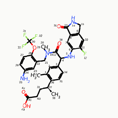 Cc1cc(C(Nc2cc3c(cc2F)CNC3=O)C(=O)N(C)Cc2cc(N)ccc2OC(F)(F)F)ccc1[C@@H](C)CCC(=O)O